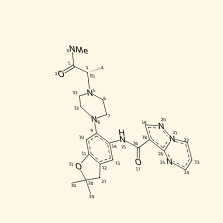 CNC(=O)[C@H](C)N1CCN(c2cc3c(cc2NC(=O)c2cnn4cccnc24)CC(C)(C)O3)CC1